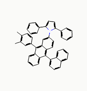 Cc1ccc(-c2c3ccccc3c(-c3cccc4ccccc34)c3ccc(-n4c(-c5ccccc5)ccc4-c4ccccc4)cc23)cc1C